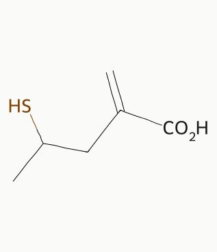 C=C(CC(C)S)C(=O)O